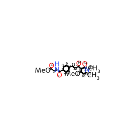 COC(=O)CNC(=O)c1ccc(C=CC(=O)c2c(OC)cc(C)n(C)c2=O)cc1